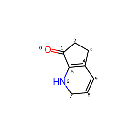 O=C1CCC2=C1NCC=C2